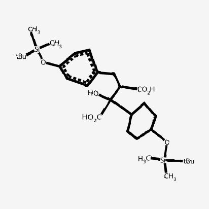 CC(C)(C)[Si](C)(C)Oc1ccc(CC(C(=O)O)C(O)(C(=O)O)C2CCC(O[Si](C)(C)C(C)(C)C)CC2)cc1